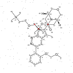 COCOc1ccccc1-c1cc2c(C)c(C3C[C@H]4COC[C@@H](C3)N4C(=O)OC(C)(C)C)n(COCC[Si](C)(C)C)c2nn1